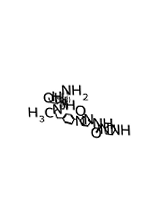 CC(Cc1ccc(-n2ccc(NC(=O)N3CCNCC3)nc2=O)cc1)N1C[C@@H]2[C@@H](CN)[C@@H]2C1CO